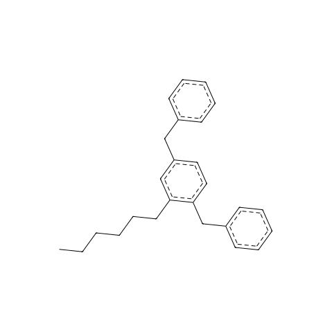 CCCCCCc1cc(Cc2ccccc2)ccc1Cc1ccccc1